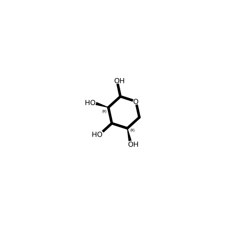 OC1OC[C@@H](O)C(O)[C@H]1O